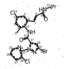 Cc1cc(Cl)cc(/C=C/C(=O)NC(C)C)c1NC(=O)c1cc(Br)nn1-c1ncccc1Cl